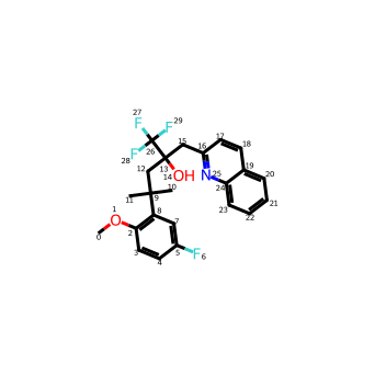 COc1ccc(F)cc1C(C)(C)CC(O)(Cc1ccc2ccccc2n1)C(F)(F)F